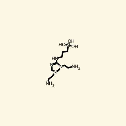 NCCN1CN=C(NCCC[Si](O)(O)O)N(CCN)C1